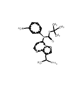 CC(C)c1cnn2c(N(C(=O)OC(C)(C)C)c3cccc(N)c3)ccnc12